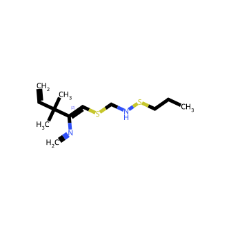 C=CC(C)(C)/C(=C/SCNSCCC)N=C